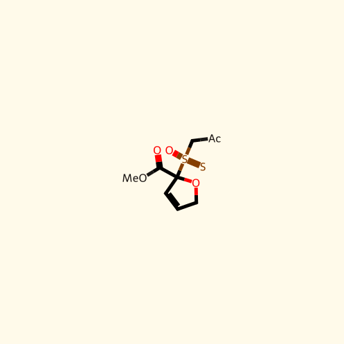 COC(=O)C1(S(=O)(=S)CC(C)=O)C=CCO1